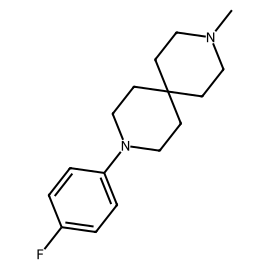 CN1CCC2(CC1)CCN(c1ccc(F)cc1)CC2